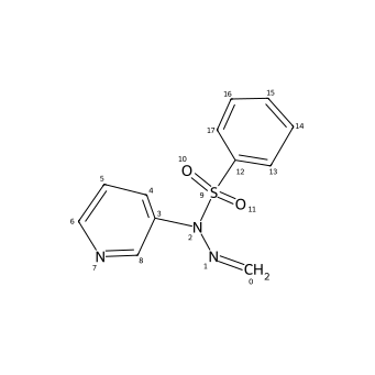 C=NN(c1cccnc1)S(=O)(=O)c1ccccc1